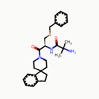 CC(C)(N)C(=O)N[C@H](CSCc1ccccc1)C(=O)N1CCC2(CCc3ccccc32)CC1